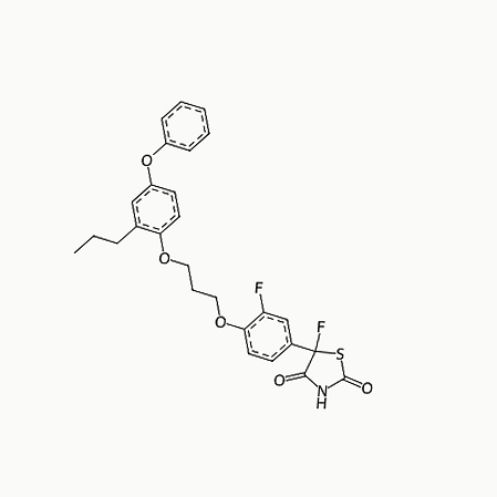 CCCc1cc(Oc2ccccc2)ccc1OCCCOc1ccc(C2(F)SC(=O)NC2=O)cc1F